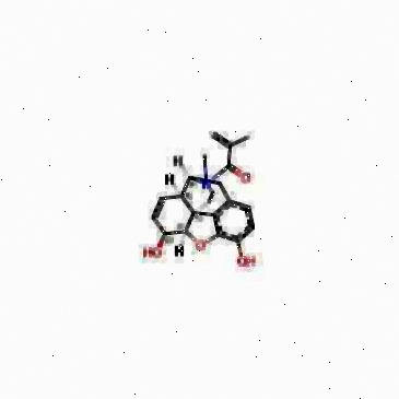 C=C(C)C(=O)[N+]1(C)CC[C@]23c4c5ccc(O)c4O[C@H]2[C@@H](O)C=C[C@H]3[C@H]1C5